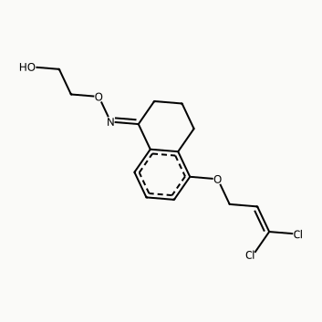 OCCON=C1CCCc2c(OCC=C(Cl)Cl)cccc21